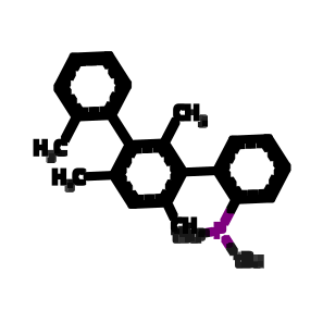 Cc1ccccc1-c1c(C)cc(C)c(-c2ccccc2P(C(C)(C)C)C(C)(C)C)c1C